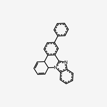 C1=CC2c3ccc(-c4ccccc4)cc3-c3nc4ccccc4n3C2C=C1